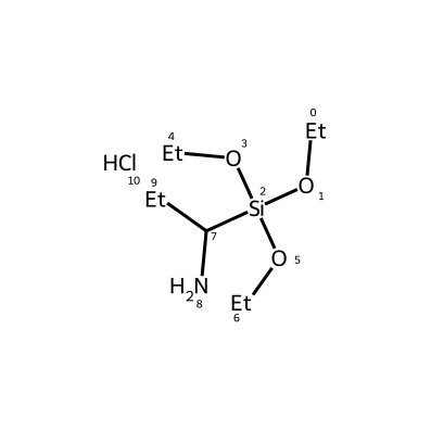 CCO[Si](OCC)(OCC)C(N)CC.Cl